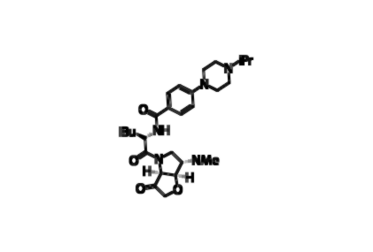 CC[C@H](C)[C@H](NC(=O)c1ccc(N2CCN(C(C)C)CC2)cc1)C(=O)N1C[C@H](NC)[C@H]2OCC(=O)[C@H]21